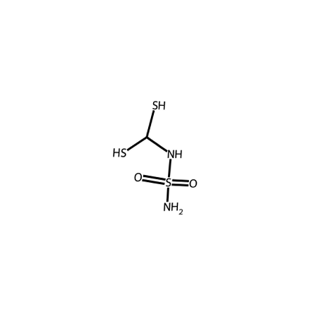 NS(=O)(=O)NC(S)S